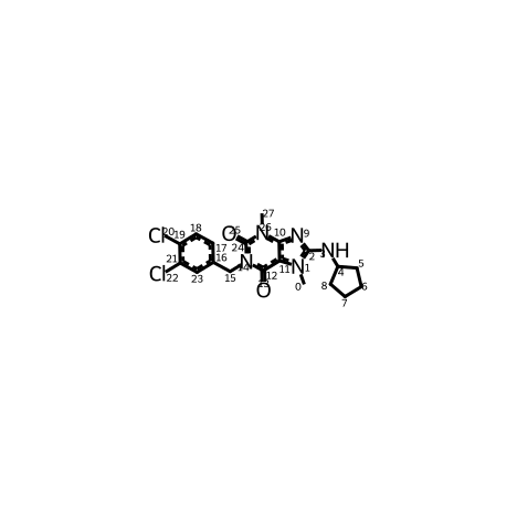 Cn1c(NC2CCCC2)nc2c1c(=O)n(Cc1ccc(Cl)c(Cl)c1)c(=O)n2C